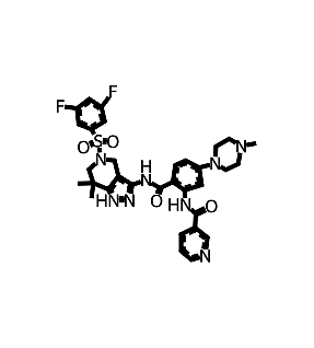 CN1CCN(c2ccc(C(=O)Nc3n[nH]c4c3CN(S(=O)(=O)c3cc(F)cc(F)c3)CC4(C)C)c(NC(=O)c3cccnc3)c2)CC1